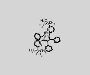 CC(C)(C)[Si]1(c2ccccc2)C(c2cccc([Si](C)(C)C)n2)=C(c2ccccc2)C(c2ccccc2)=C1c1cccc([Si](C)(C)C)n1